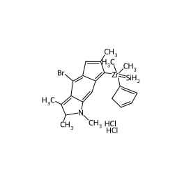 CC1=Cc2c(Br)c3c(cc2=[C]1[Zr]([CH3])([CH3])(=[SiH2])[C]1=CC=CC1)N(C)C(C)C=3C.Cl.Cl